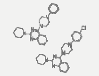 Clc1ccc(N2CCN(c3nc(N4CCCCC4)nc4ccccc34)CC2)cc1.c1ccc(N2CCN(c3nc(N4CCCCC4)nc4ccccc34)CC2)cc1